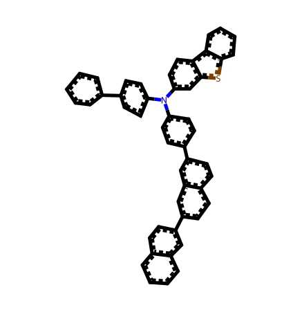 c1ccc(-c2ccc(N(c3ccc(-c4ccc5ccc(-c6ccc7ccccc7c6)cc5c4)cc3)c3ccc4c(c3)sc3ccccc34)cc2)cc1